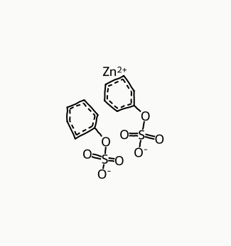 O=S(=O)([O-])Oc1ccccc1.O=S(=O)([O-])Oc1ccccc1.[Zn+2]